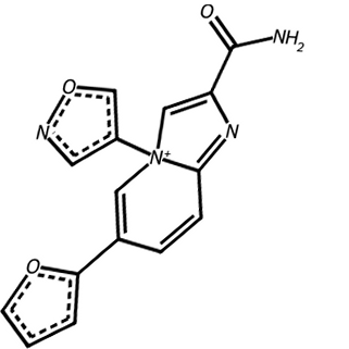 NC(=O)C1=C[N+]2(c3cnoc3)C=C(c3ccco3)C=CC2=N1